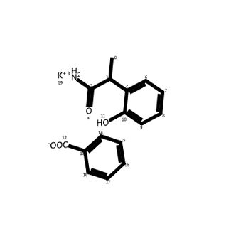 CC(C(N)=O)c1ccccc1O.O=C([O-])c1ccccc1.[K+]